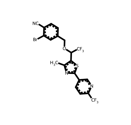 Cc1nc(-c2ccc(C(F)(F)F)nc2)sc1C(OCc1ccc(C#N)c(Br)c1)C(F)(F)F